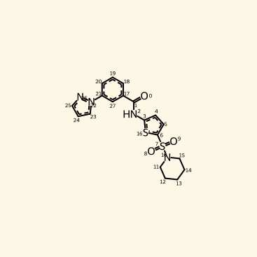 O=C(Nc1ccc(S(=O)(=O)N2CCCCC2)s1)c1cccc(-n2cccn2)c1